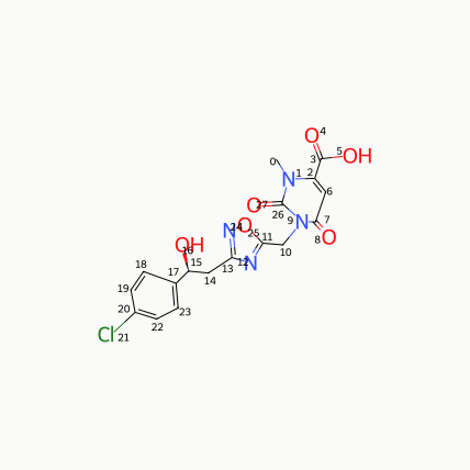 Cn1c(C(=O)O)cc(=O)n(Cc2nc(C[C@H](O)c3ccc(Cl)cc3)no2)c1=O